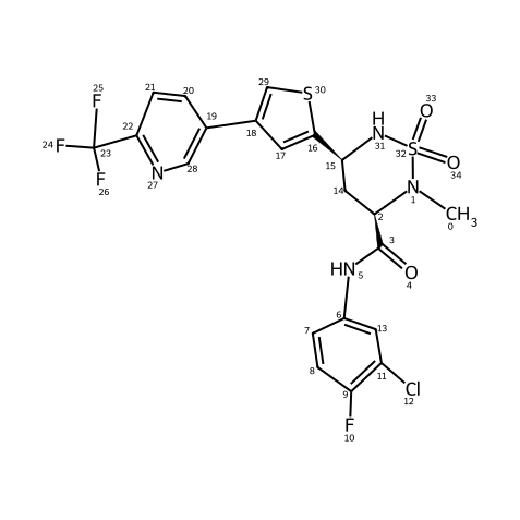 CN1[C@@H](C(=O)Nc2ccc(F)c(Cl)c2)C[C@@H](c2cc(-c3ccc(C(F)(F)F)nc3)cs2)NS1(=O)=O